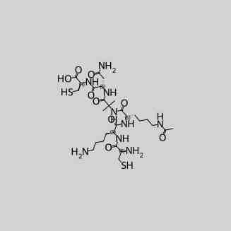 CC(=O)NCCCC[C@H](NC(=O)[C@H](CCCCN)NC(=O)[C@@H](N)CS)C(=O)NC(C)(C)C(=O)N[C@@H](CC(N)=O)C(=O)N[C@@H](CS)C(=O)O